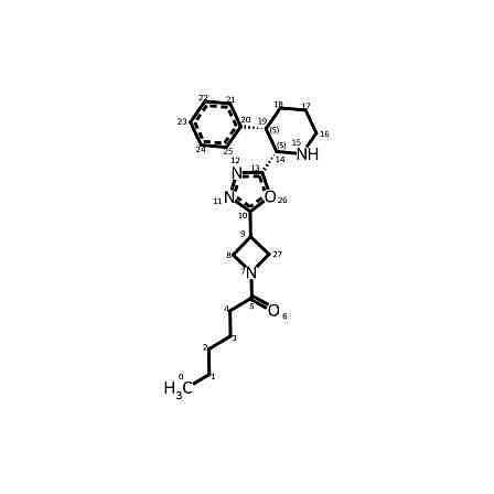 CCCCCC(=O)N1CC(c2nnc([C@H]3NCCC[C@H]3c3ccccc3)o2)C1